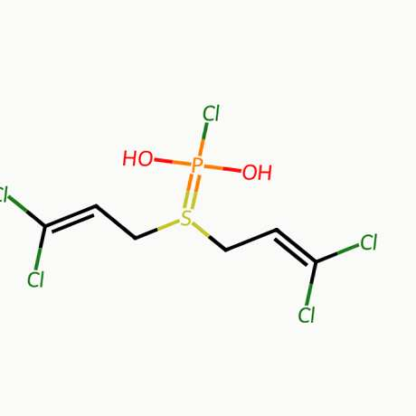 OP(O)(Cl)=S(CC=C(Cl)Cl)CC=C(Cl)Cl